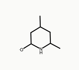 CC1CC(C)NC([O])C1